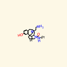 CC(C)NC(=O)N1C[C@H]2CCC34CCN(CCN)C(CCC1C23)Cc1ccc(O)cc14